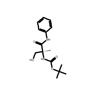 CC(C)(C)OC(=O)N[C@@](C)(CO)C(=O)Nc1ccccc1